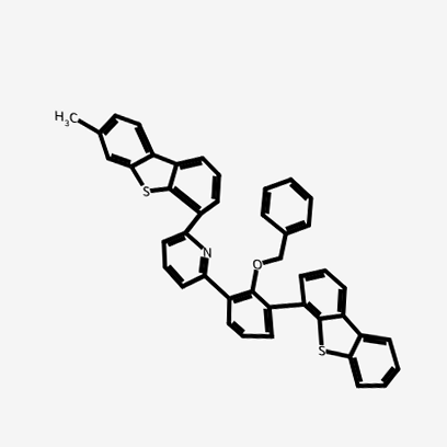 Cc1ccc2c(c1)sc1c(-c3cccc(-c4cccc(-c5cccc6c5sc5ccccc56)c4OCc4ccccc4)n3)cccc12